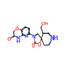 O=C1COc2ccc(N3CC4(CCNCC4CO)OC3=O)nc2N1